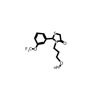 CCCOCCCN1C(=O)CSC1c1cccc(OC(F)(F)F)c1